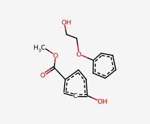 COC(=O)c1ccc(O)cc1.OCCOc1ccccc1